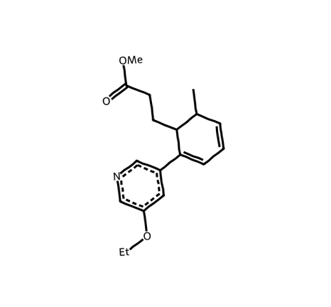 CCOc1cncc(C2=CC=CC(C)C2CCC(=O)OC)c1